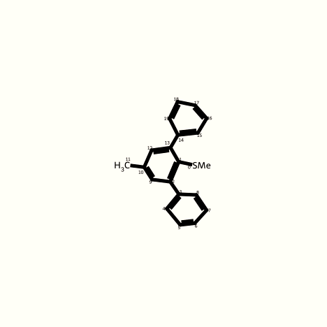 CSc1c(-c2ccccc2)cc(C)cc1-c1ccccc1